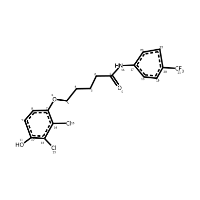 O=C(CCCCOc1ccc(O)c(Cl)c1Cl)Nc1ccc(C(F)(F)F)cc1